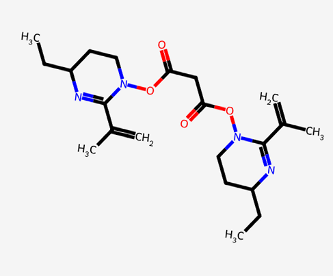 C=C(C)C1=NC(CC)CCN1OC(=O)CC(=O)ON1CCC(CC)N=C1C(=C)C